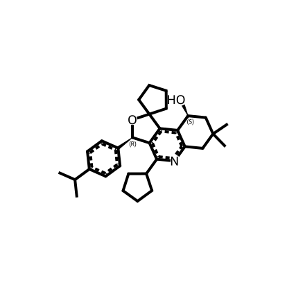 CC(C)c1ccc([C@H]2OC3(CCCC3)c3c2c(C2CCCC2)nc2c3[C@@H](O)CC(C)(C)C2)cc1